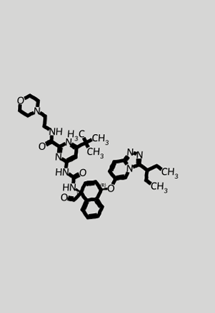 CCC(CC)c1nnc2ccc(O[C@@H]3C=C[C@](C=O)(NC(=O)Nc4cc(C(C)(C)C)nc(C(=O)NCCN5CCOCC5)n4)c4ccccc43)cn12